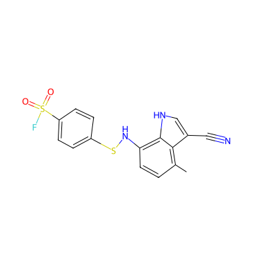 Cc1ccc(NSc2ccc(S(=O)(=O)F)cc2)c2[nH]cc(C#N)c12